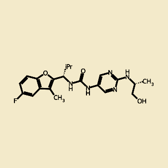 Cc1c([C@@H](NC(=O)Nc2cnc(N[C@H](C)CO)nc2)C(C)C)oc2ccc(F)cc12